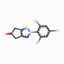 O=C1Cc2cn(-c3c(Cl)cc(C(F)(F)F)cc3Cl)nc2C1